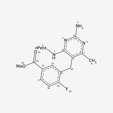 CCCCCNc1nc(N)nc(C)c1Cc1cc(C(=O)OC)ccc1F